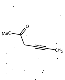 [CH2]C#CCC(=O)OC